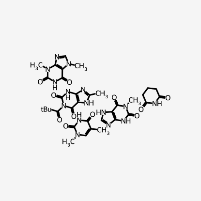 Cc1cn(C)c(=O)[nH]c1=O.Cc1nc2[nH]c(=O)n(C(=O)C(C)(C)C)c(=O)c2[nH]1.Cn1c(=O)[nH]c2nc[nH]c2c1=O.Cn1cnc2c1c(=O)[nH]c(=O)n2C.O=C1CCCC(=O)N1